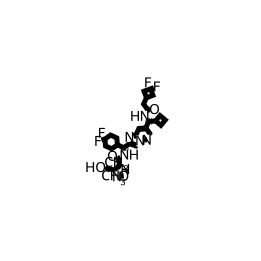 CC(C)(O)c1nonc1C(=O)N[C@H](c1cn2ncc([C@H](NC(=O)CC3CC(F)(F)C3)C3CCC3)cc2n1)C1CCC(F)(F)CC1